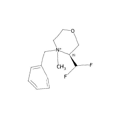 C[N+]1(Cc2ccccc2)CCOC[C@H]1C(F)F